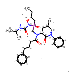 CCCCP(=O)(CN(C(=O)CCCc1ccccc1)[C@@H](CC(C)C)C(=O)Nc1ccccc1)N(O)C(=O)NC(C)C